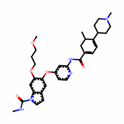 CNC(=O)n1ccc2cc(Oc3ccnc(NC(=O)C4=CC=C(C5CCN(C)CC5)C(C)C4)c3)c(OCCCOC)cc21